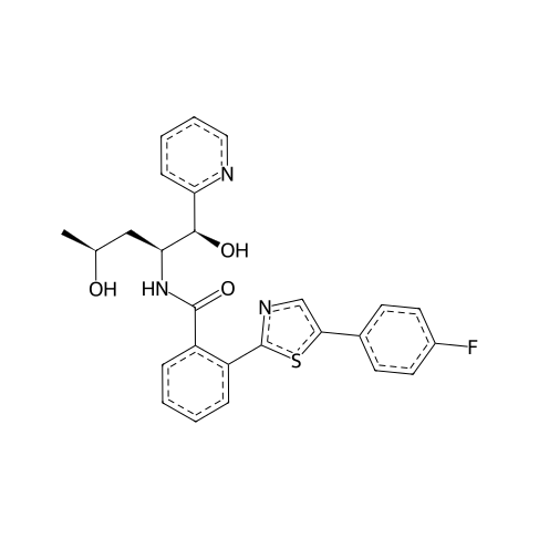 C[C@H](O)C[C@H](NC(=O)c1ccccc1-c1ncc(-c2ccc(F)cc2)s1)[C@H](O)c1ccccn1